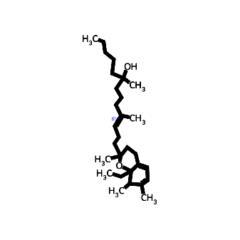 CCCCCC(C)(O)CCC/C(C)=C/CCC1(C)CCC2=CC=C(C)C(C)C2(CC)O1